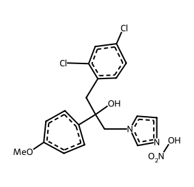 COc1ccc(C(O)(Cc2ccc(Cl)cc2Cl)Cn2ccnc2)cc1.O=[N+]([O-])O